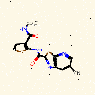 CCOC(=O)NC(=O)c1ccsc1NC(=O)c1nc2cc(C#N)cnc2s1